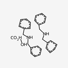 O=C(O)O.c1ccc(CNCc2ccccc2)cc1.c1ccc(CNCc2ccccc2)cc1